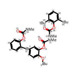 CCC(C)Oc1ccccc1OC(=O)NC.CCC(C)c1ccccc1OC(=O)NC.CNC(=O)Oc1c(C(C)(C)C)cccc1C(C)(C)C